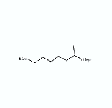 [CH2]C(CCCCCCC)CCCCCCCCCCCCC